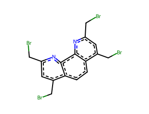 BrCc1cc(CBr)c2ccc3c(CBr)cc(CBr)nc3c2n1